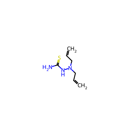 C=CCN(CC=C)NC(N)=S